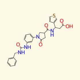 O=C(O)CC(NC(=O)C1CC(=O)N(c2cccc(NC(=O)NCc3ccccc3)c2)C1)c1ccsc1